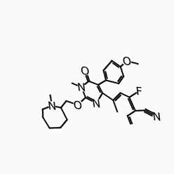 C=C/C(C#N)=C(F)\C=C(/C)c1nc(OCC2CCCCCN2C)n(C)c(=O)c1-c1ccc(OC)cc1